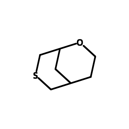 C1CC2CSCC(C2)O1